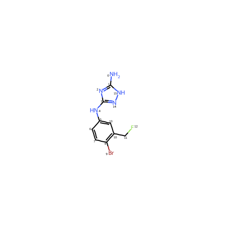 Nc1nc(Nc2ccc(Br)c(CF)c2)n[nH]1